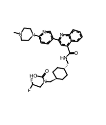 CN1CCN(c2ccc(-c3cc(C(=O)NC[C@H]4CC[C@H](CN(CC(F)F)C(=O)O)CC4)c4ccccc4n3)cn2)CC1